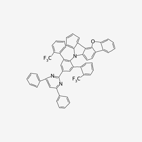 FC(F)(F)c1ccccc1-c1cc(-c2nc(-c3ccccc3)cc(-c3ccccc3)n2)cc(-c2ccccc2C(F)(F)F)c1-n1c2ccccc2c2c3oc4ccccc4c3ccc21